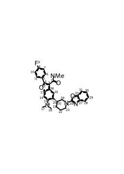 CNC(=O)c1c(-c2ccc(F)cc2)oc2cc(N(C)C)c([C@@H]3CCCN(c4nc5ccccc5o4)C3)cc12